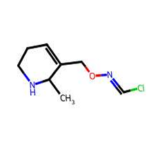 CC1NCCC=C1CON=CCl